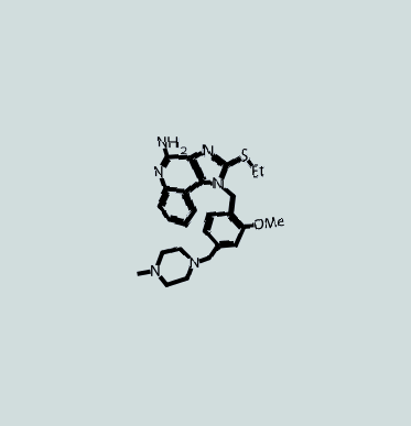 CCSc1nc2c(N)nc3ccccc3c2n1Cc1ccc(CN2CCN(C)CC2)cc1OC